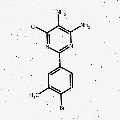 Cc1cc(-c2nc(N)c(N)c(Cl)n2)ccc1Br